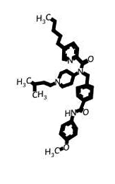 CCCCCc1ccc(C(=O)N(Cc2ccc(C(=O)Nc3ccc(OC)cc3)cc2)C2CCN(CCC(C)C)CC2)nc1